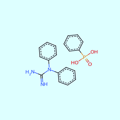 N=C(N)N(c1ccccc1)c1ccccc1.O=P(O)(O)c1ccccc1